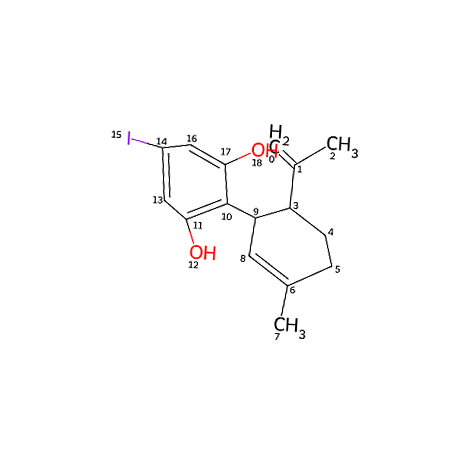 C=C(C)C1CCC(C)=CC1c1c(O)cc(I)cc1O